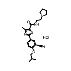 Cc1nc(-c2ccc(OCC(C)C)c(C#N)c2)sc1C(=O)NCCN1CCCC1.Cl